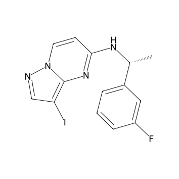 C[C@@H](Nc1ccn2ncc(I)c2n1)c1cccc(F)c1